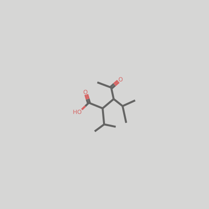 CC(=O)C(C(C)C)C(C(=O)O)C(C)C